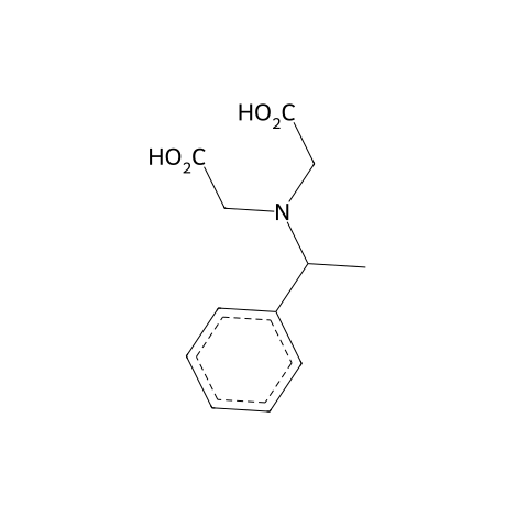 CC(c1ccccc1)N(CC(=O)O)CC(=O)O